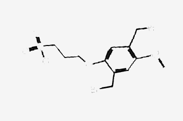 COc1cc(CBr)c(OCCCS(=O)(=O)Cl)cc1CBr